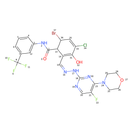 O=C(Nc1cccc(C(F)(F)F)c1)C1C(/C=N\Nc2ncc(F)c(N3CCOCC3)n2)=C(O)C(Cl)=CC1Br